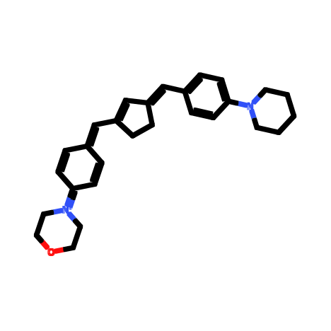 C1=CC(=[N+]2CCOCC2)C=CC1=CC1=C/C(=C/c2ccc(N3CCCCC3)cc2)CC1